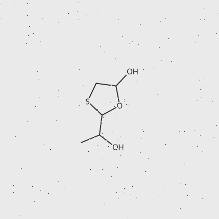 CC(O)C1OC(O)CS1